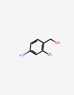 Nc1ccc(CO)c(C(F)(F)F)c1